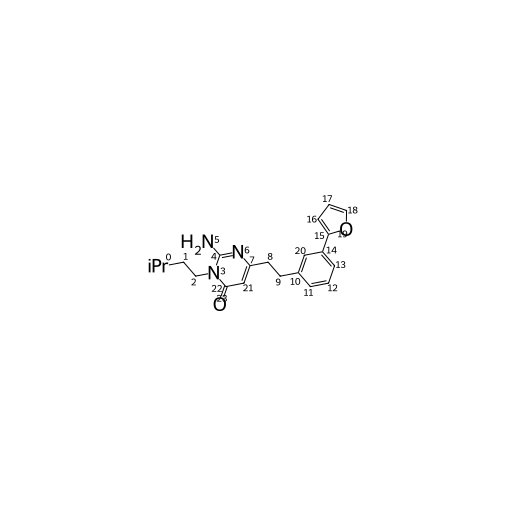 CC(C)CCn1c(N)nc(CCc2cccc(-c3ccco3)c2)cc1=O